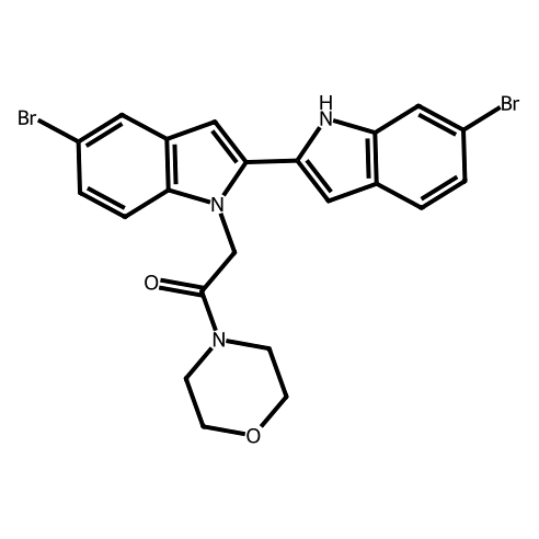 O=C(Cn1c(-c2cc3ccc(Br)cc3[nH]2)cc2cc(Br)ccc21)N1CCOCC1